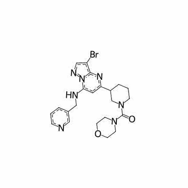 O=C(N1CCOCC1)N1CCCC(c2cc(NCc3cccnc3)n3ncc(Br)c3n2)C1